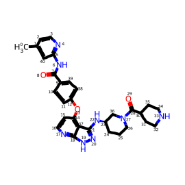 Cc1ccnc(NC(=O)c2ccc(Oc3ccnc4[nH]nc(N[C@@H]5CCCN(C(=O)C6CCNCC6)C5)c34)cc2)c1